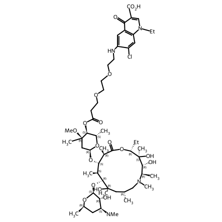 CC[C@H]1OC(=O)[C@H](C)[C@@H](O[C@H]2C[C@@](C)(OC)[C@@H](OC(=O)CCOCCOCCNc3cc4c(=O)c(C(=O)O)cn(CC)c4cc3Cl)[C@H](C)O2)[C@H](C)[C@@H](O[C@@H]2O[C@H](C)C[C@H](NC)[C@H]2O)[C@](C)(O)C[C@@H](C)CN(C)[C@H](C)[C@@H](O)[C@]1(C)O